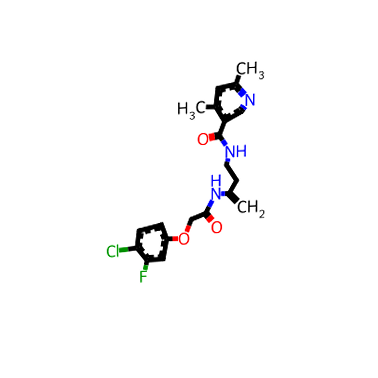 C=C(CCNC(=O)c1cnc(C)cc1C)NC(=O)COc1ccc(Cl)c(F)c1